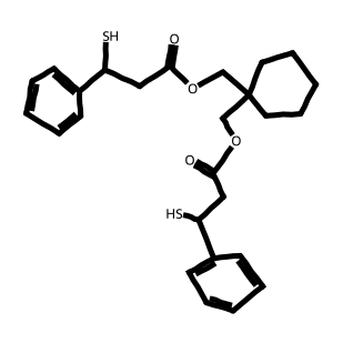 O=C(CC(S)c1ccccc1)OCC1(COC(=O)CC(S)c2ccccc2)CCCCC1